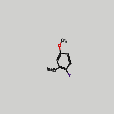 COc1cc(OC(F)(F)F)ccc1I